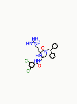 N=C(N)NCCC[C@@H]1N[C@H](CNC(=O)c2cc(Cl)cc(Cl)c2)CCN(CC(c2ccccc2)c2ccccc2)C1=O